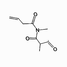 C=CCC(=O)N(C)C(=O)C(C)[C]=O